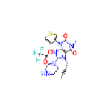 CC#CCN1c2c(n(-c3ccsc3)c(=O)n(C)c2=O)N(OC(=O)C(F)(F)F)C1N1CCNCC1